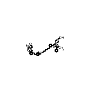 Cc1nn2c(N3CCN(CCO)CC3)cc(-c3cccc(CCCCCCCNCc4ccc(COc5cccc6c5CN(C5CCC(=O)NC5=O)C6=O)cc4)c3)nc2c1-c1ccccc1